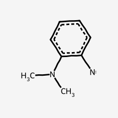 CN(C)c1ccccc1[N]